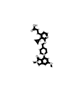 COc1cc2c(c(N3CCC(COc4nccc(CCC(=O)O)c4C4CC4)CC3)c1)C(=O)N(C)C2